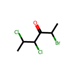 CC(Br)C(=O)C(Cl)C(C)Cl